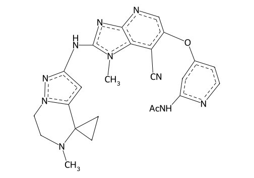 CC(=O)Nc1cc(Oc2cnc3nc(Nc4cc5n(n4)CCN(C)C54CC4)n(C)c3c2C#N)ccn1